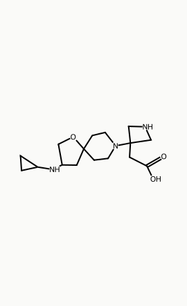 O=C(O)CC1(N2CCC3(CC2)CC(NC2CC2)CO3)CNC1